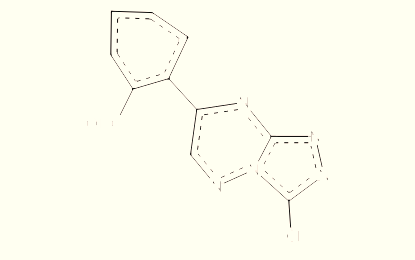 Cc1nnc2nc(-c3ccccc3C=O)cnn12